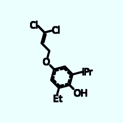 CCc1cc(OCC=C(Cl)Cl)cc(C(C)C)c1O